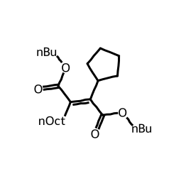 CCCCCCCCC(C(=O)OCCCC)=C(C(=O)OCCCC)C1CCCC1